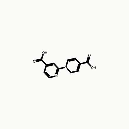 O=C(O)C1=CCN(c2cc(C(=O)O)ccn2)C=C1